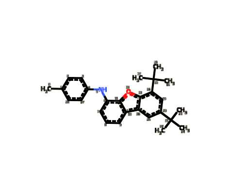 Cc1ccc(Nc2cccc3c2oc2c(C(C)(C)C)cc(C(C)(C)C)cc23)cc1